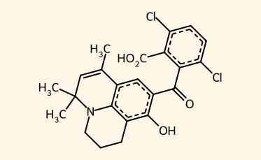 CC1=CC(C)(C)N2CCCc3c(O)c(C(=O)c4c(Cl)ccc(Cl)c4C(=O)O)cc1c32